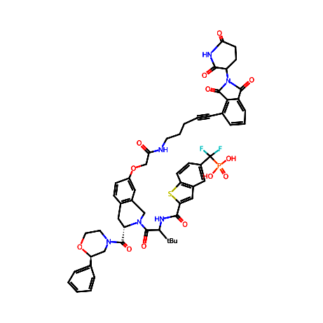 CC(C)(C)C(NC(=O)c1cc2cc(C(F)(F)P(=O)(O)O)ccc2s1)C(=O)N1Cc2cc(OCC(=O)NCCCC#Cc3cccc4c3C(=O)N(C3CCC(=O)NC3=O)C4=O)ccc2C[C@H]1C(=O)N1CCO[C@H](c2ccccc2)C1